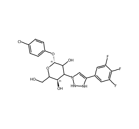 OCC1O[C@H](Oc2ccc(Cl)cc2)C(O)C(N2C=C(c3cc(F)c(F)c(F)c3)NN2)[C@H]1O